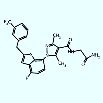 Cc1nn(-c2ccc(F)c3cc(Cc4cccc(C(F)(F)F)c4)sc23)c(C)c1C(=O)NCC(N)=O